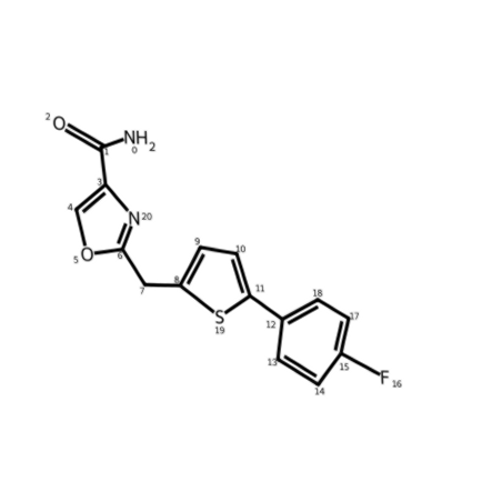 NC(=O)c1coc(Cc2ccc(-c3ccc(F)cc3)s2)n1